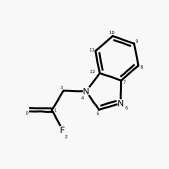 C=C(F)Cn1cnc2ccccc21